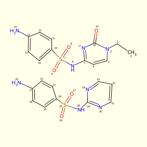 CCn1ccc(NS(=O)(=O)c2ccc(N)cc2)nc1=O.Nc1ccc(S(=O)(=O)Nc2ncccn2)cc1